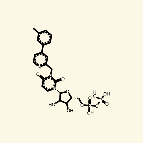 Cc1cccc(-c2ccnc(Cn3c(=O)ccn([C@@H]4O[C@H](COP(=O)(O)OP(=O)(O)O)C(O)C4O)c3=O)c2)c1